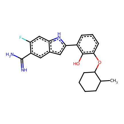 CC1CCCCC1Oc1cccc(-c2cc3cc(C(=N)N)c(F)cc3[nH]2)c1O